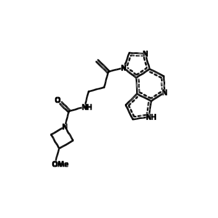 C=C(CCNC(=O)N1CC(OC)C1)n1cnc2cnc3[nH]ccc3c21